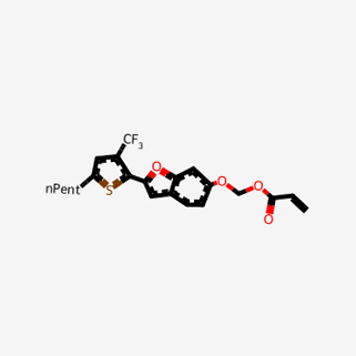 C=CC(=O)OCOc1ccc2cc(-c3sc(CCCCC)cc3C(F)(F)F)oc2c1